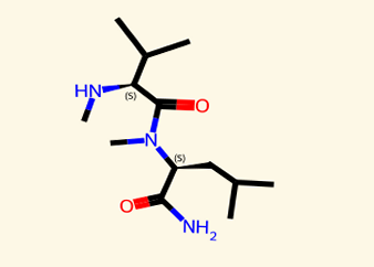 CN[C@H](C(=O)N(C)[C@@H](CC(C)C)C(N)=O)C(C)C